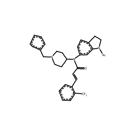 CC(=O)N1CCc2ccc(N(C(=O)/C=C/c3ccccc3C(F)(F)F)C3CCN(Cc4ccccc4)CC3)cc21